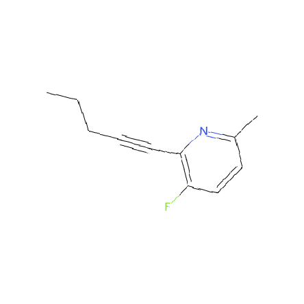 CCCC#Cc1nc(C)ccc1F